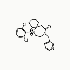 O=C1CC2(CCCCC2Cc2c(Cl)cccc2Cl)S(=O)(=O)CCN1Cc1cccnc1